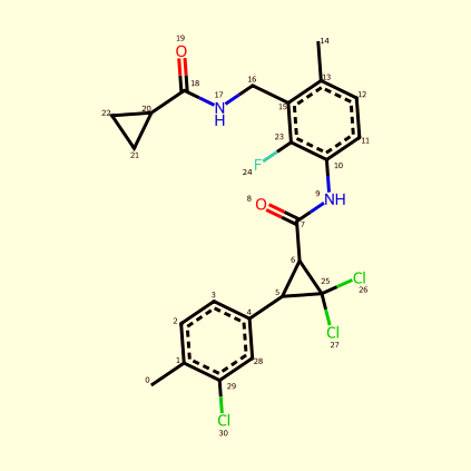 Cc1ccc(C2C(C(=O)Nc3ccc(C)c(CNC(=O)C4CC4)c3F)C2(Cl)Cl)cc1Cl